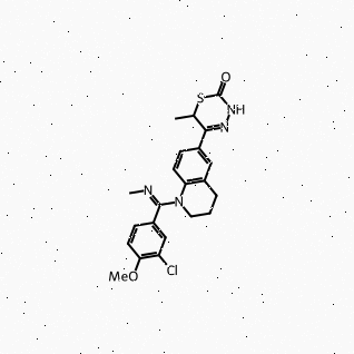 CN=C(c1ccc(OC)c(Cl)c1)N1CCCc2cc(C3=NNC(=O)SC3C)ccc21